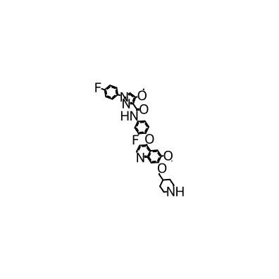 COc1cc2c(Oc3ccc(NC(=O)c4nn(-c5ccc(F)cc5)cc4OC)cc3F)ccnc2cc1OCC1CCNCC1